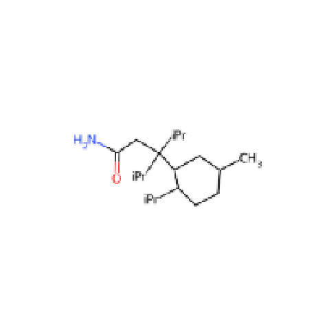 CC1CCC(C(C)C)C(C(CC(N)=O)(C(C)C)C(C)C)C1